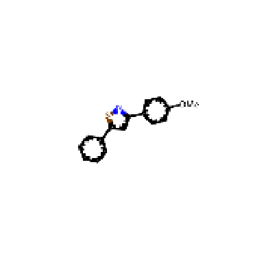 COc1ccc(-c2[c]c(-c3ccccc3)sn2)cc1